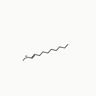 [CH2]CCCCCCCC=CSC